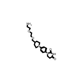 NCCOCCOCC1CCN(c2ccc(N3CCC(=O)NC3=O)cc2)CC1